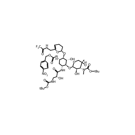 CN(C(=O)OC(C)(C)C)[C@@H]1[C@@H](O)[C@@H](O[C@@H]2[C@@H](O)[C@H](O[C@@H]3CCC=C(CNC(=O)C(F)(F)F)O3)[C@@H](NC(=O)OCc3ccc([N+](=O)[O-])cc3)C[C@H]2NC(=O)[C@H](O)CNC(=O)OC(C)(C)C)OC[C@]1(C)O